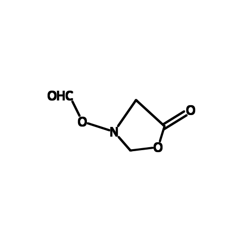 O=CON1COC(=O)C1